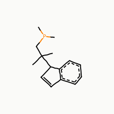 CP(C)CC(C)(C)C1C=Cc2ccccc21